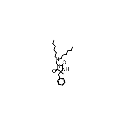 CCCCCCN(CCCCCC)CN1C(=O)NC(C)(Cc2ccccc2)C1=O